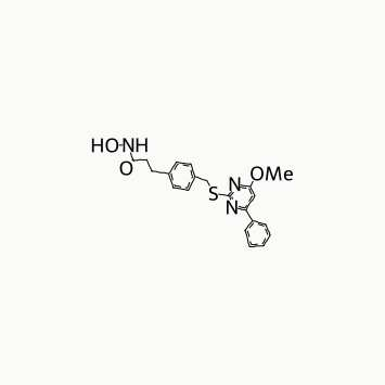 COc1cc(-c2ccccc2)nc(SCc2ccc(CCC(=O)NO)cc2)n1